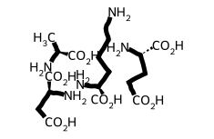 C[C@H](N)C(=O)O.NCCCC[C@H](N)C(=O)O.N[C@@H](CC(=O)O)C(=O)O.N[C@@H](CCC(=O)O)C(=O)O